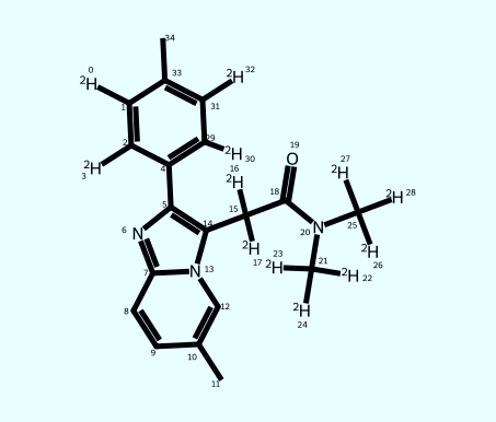 [2H]c1c([2H])c(-c2nc3ccc(C)cn3c2C([2H])([2H])C(=O)N(C([2H])([2H])[2H])C([2H])([2H])[2H])c([2H])c([2H])c1C